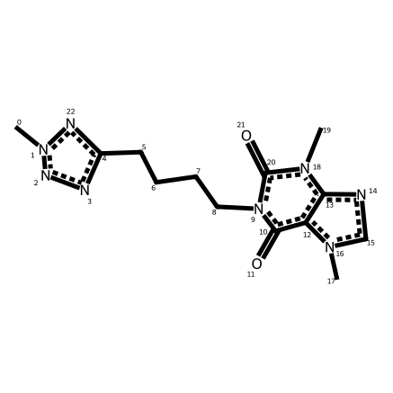 Cn1nnc(CCCCn2c(=O)c3c(ncn3C)n(C)c2=O)n1